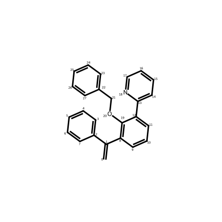 C=C(c1ccccc1)c1cccc(-c2ccccn2)c1OCc1ccccc1